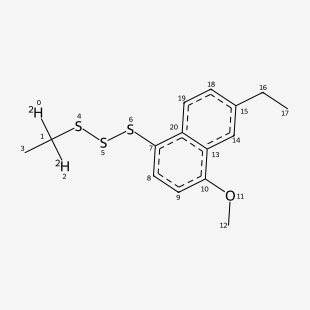 [2H]C([2H])(C)SSSc1ccc(OC)c2cc(CC)ccc12